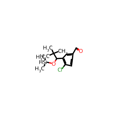 C[SiH](C)OC(c1cc(C=O)ccc1Cl)C(C)(C)C